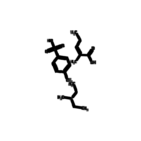 CCC=C(C)C(=O)O.CCN(C)CC.Cc1ccc(S(=O)(=O)O)cc1